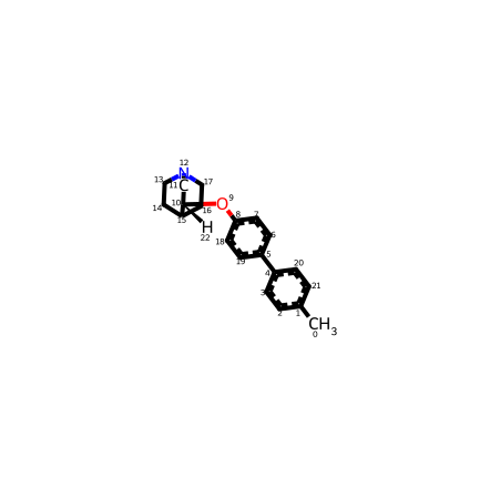 Cc1ccc(-c2ccc(O[C@H]3CN4CCC3CC4)cc2)cc1